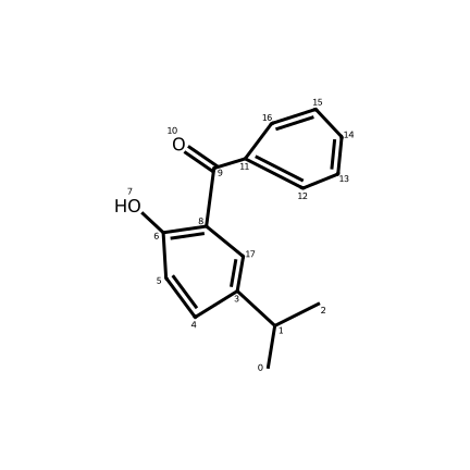 CC(C)c1ccc(O)c(C(=O)c2ccccc2)c1